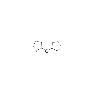 [CH]1CCCC1OC1[CH]CCC1